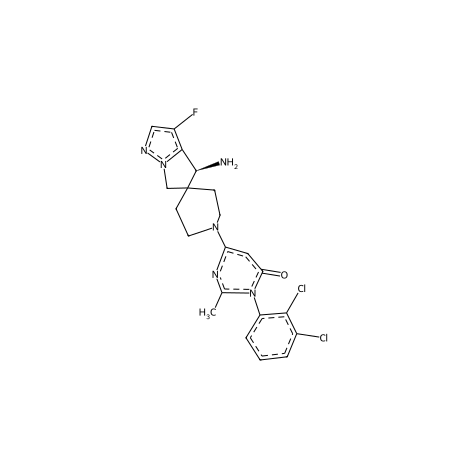 Cc1nc(N2CCC3(CC2)Cn2ncc(F)c2[C@H]3N)cc(=O)n1-c1cccc(Cl)c1Cl